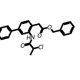 CC(Cl)C(=O)Nc1cc(-c2ccccc2)ccc1CC(=O)OCc1ccccc1